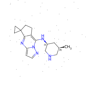 C[C@H]1CNC[C@@H](Nc2c3c(nc4ccnn24)C2(CC3)CC2)C1